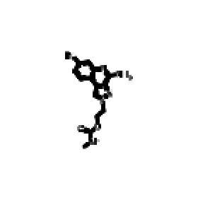 CNC(=O)OCCn1cc2c(n1)c(N)nc1cc(Br)ccc12